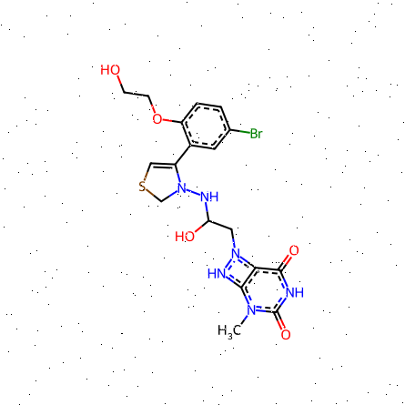 Cn1c(=O)[nH]c(=O)c2c1[nH]n2CC(O)NN1CSC=C1c1cc(Br)ccc1OCCO